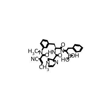 C/C=C(\C#N)C(=O)N(C)c1cccc(C[C@H](NC(=O)c2cnccn2)C(=O)/N=C(\Cc2ccccc2)B(O)O)c1